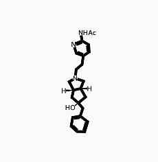 CC(=O)Nc1ccc(CCN2C[C@@H]3C[C@@](O)(Cc4ccccc4)C[C@@H]3C2)cn1